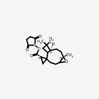 CC1(C)CC2[C@@H]1CC[C@]1(C)OC1CCC21C[C@H]1C(=O)ON1C(=O)CCC1=O